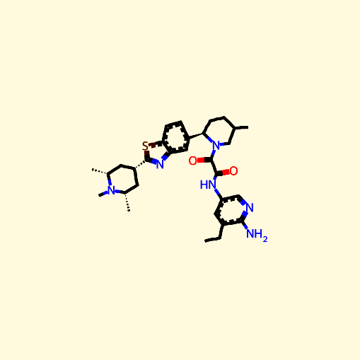 CCc1cc(NC(=O)C(=O)N2CC(C)CC[C@@H]2c2ccc3sc([C@H]4C[C@@H](C)N(C)[C@@H](C)C4)nc3c2)cnc1N